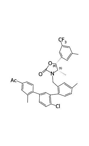 CC(=O)c1ccc(-c2ccc(Cl)c(-c3ccc(C)cc3CN3C(=O)O[C@H](c4cc(C)cc(C(F)(F)F)c4)[C@@H]3C)c2)c(C)c1